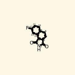 O=C1NC(=O)c2c1ccc1ccc(F)cc21